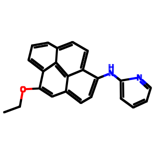 CCOc1cc2ccc(Nc3ccccn3)c3ccc4cccc1c4c23